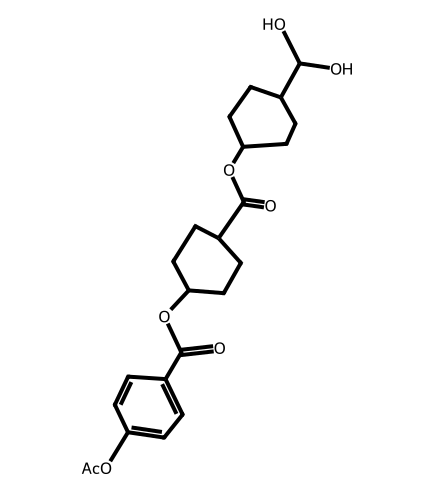 CC(=O)Oc1ccc(C(=O)OC2CCC(C(=O)OC3CCC(C(O)O)CC3)CC2)cc1